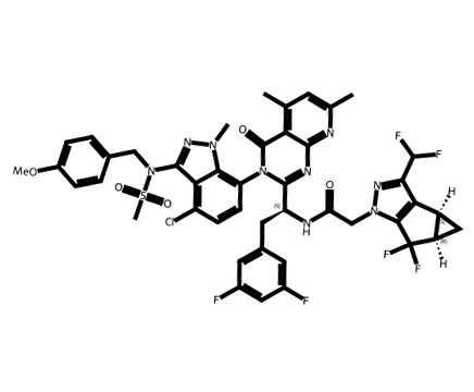 COc1ccc(CN(c2nn(C)c3c(-n4c([C@H](Cc5cc(F)cc(F)c5)NC(=O)Cn5nc(C(F)F)c6c5C(F)(F)[C@@H]5C[C@H]65)nc5nc(C)cc(C)c5c4=O)ccc(Cl)c23)S(C)(=O)=O)cc1